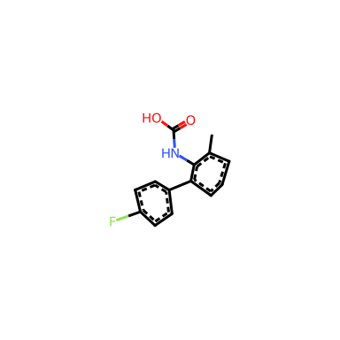 Cc1cccc(-c2ccc(F)cc2)c1NC(=O)O